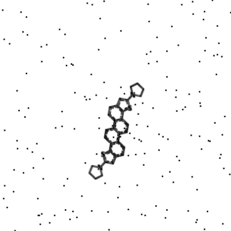 c1cc2c3ccc4c(ccc5cc(N6CCCC6)sc54)c3ccc2c2sc(N3CCCC3)cc12